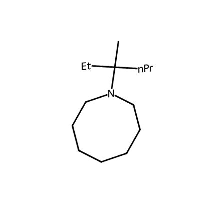 CCCC(C)(CC)N1CCCCCCC1